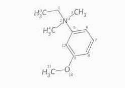 C[CH][N+](C)(C)c1cccc(OC)c1